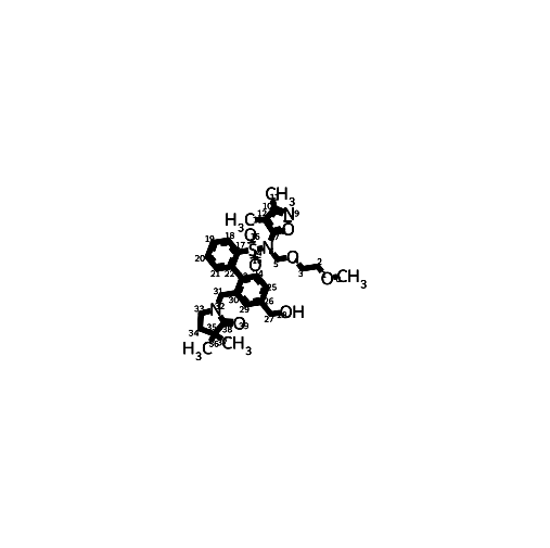 COCCOCN(c1onc(C)c1C)S(=O)(=O)c1ccccc1-c1ccc(CO)cc1CN1CCC(C)(C)C1=O